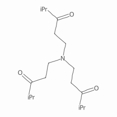 CC(C)C(=O)CCN(CCC(=O)C(C)C)CCC(=O)C(C)C